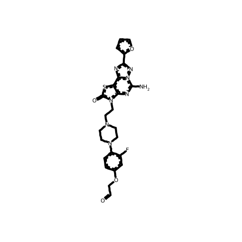 Nc1nc2c(sc(=O)n2CCN2CCN(c3ccc(OCC=O)cc3F)CC2)c2nc(-c3ccco3)nn12